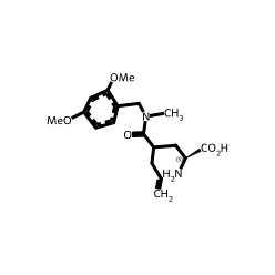 C=CCC(C[C@H](N)C(=O)O)C(=O)N(C)Cc1ccc(OC)cc1OC